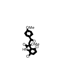 COc1ccc(C(=O)CC2(OC)C(=O)Nc3c(Cl)ccc(Cl)c32)cc1